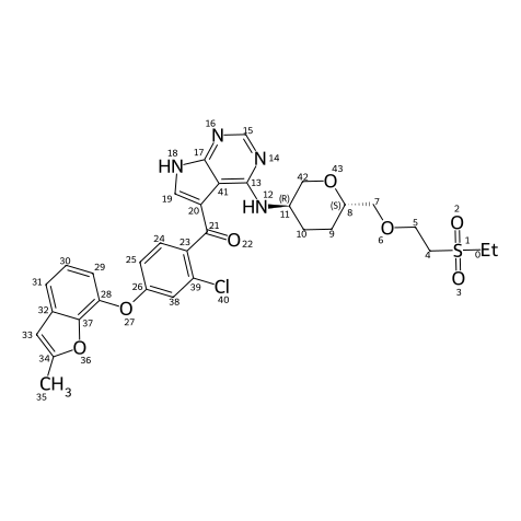 CCS(=O)(=O)CCOC[C@@H]1CC[C@@H](Nc2ncnc3[nH]cc(C(=O)c4ccc(Oc5cccc6cc(C)oc56)cc4Cl)c23)CO1